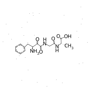 C[C@H](NC(=O)CNC(=O)C(=O)[C@@H](N)Cc1ccccc1)C(=O)O